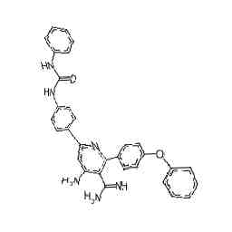 N=C(N)c1c(N)cc(-c2ccc(NC(=O)Nc3ccccc3)cc2)nc1-c1ccc(Oc2ccccc2)cc1